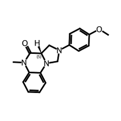 COc1ccc(N2C[C@H]3C(=O)N(C)c4ccccc4N3C2)cc1